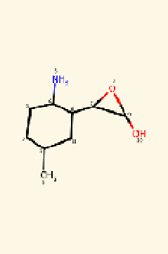 CC1CCC(N)C(C2OC2O)C1